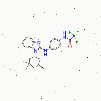 C[C@@H]1C[C@@H](n2c(Nc3ccc(NC(=O)C(F)(F)F)cc3)nc3ccccc32)CC(C)(C)C1